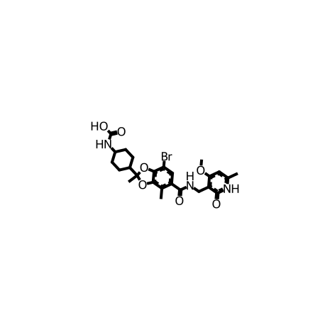 COc1cc(C)[nH]c(=O)c1CNC(=O)c1cc(Br)c2c(c1C)OC(C)(C1CCC(NC(=O)O)CC1)O2